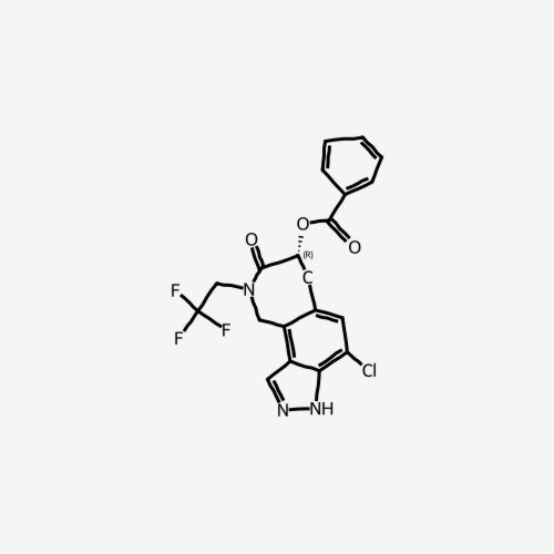 O=C(O[C@@H]1Cc2cc(Cl)c3[nH]ncc3c2CN(CC(F)(F)F)C1=O)c1ccccc1